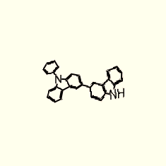 C1=CC(c2ccc3c(c2)c2ccccc2n3-c2ccccc2)Cc2c1[nH]c1ccccc21